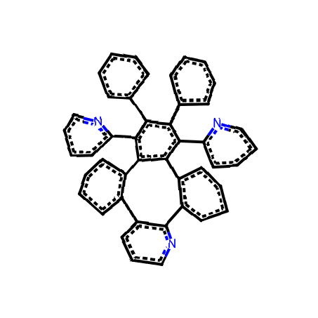 c1ccc(-c2c(-c3ccccc3)c(-c3ccccn3)c3c(c2-c2ccccn2)-c2ccccc2-c2cccnc2-c2ccccc2-3)cc1